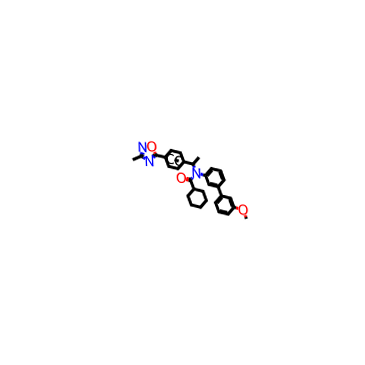 COc1cccc(-c2cccc(N(C(=O)C3CCCCC3)C(C)C34CCC(c5nc(C)no5)(CC3)CC4)c2)c1